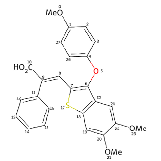 COc1ccc(Oc2c(C=C(C(=O)O)c3ccccc3)sc3cc(OC)c(OC)cc23)cc1